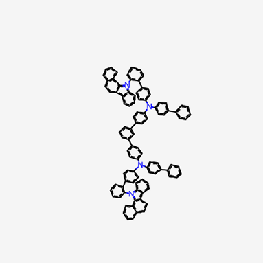 c1ccc(-c2ccc(N(c3ccc(-c4cccc(-c5ccc(N(c6ccc(-c7ccccc7)cc6)c6ccc(-c7ccccc7-n7c8ccccc8c8ccc9ccccc9c87)cc6)cc5)c4)cc3)c3ccc(-c4ccccc4-n4c5ccccc5c5ccc6ccccc6c54)cc3)cc2)cc1